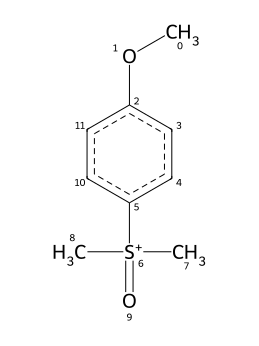 COc1ccc([S+](C)(C)=O)cc1